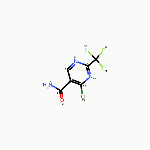 NC(=O)c1cnc(C(F)(F)F)nc1Cl